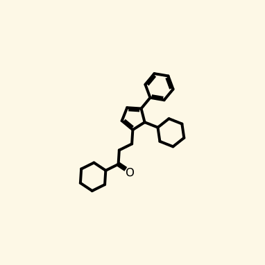 O=C(CCC1=CC=C(c2ccccc2)C1C1CCCCC1)C1CCCCC1